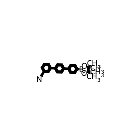 CC1(C)OB(c2ccc(-c3ccc(-c4cccc(C#N)c4)cc3)cc2)OC1(C)C